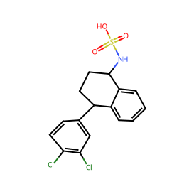 O=S(=O)(O)NC1CCC(c2ccc(Cl)c(Cl)c2)c2ccccc21